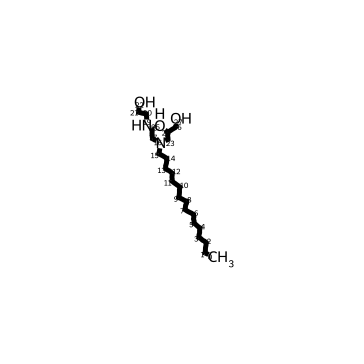 CCCCCCCCCCCCCCCCN(CCNCCO)CC(O)CO